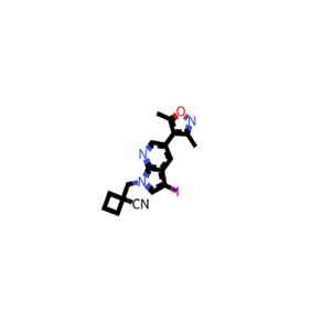 Cc1noc(C)c1-c1cnc2c(c1)c(I)cn2CC1(C#N)CCC1